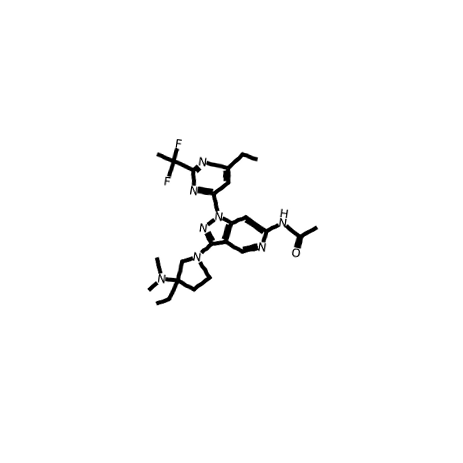 CCc1cc(-n2nc(N3CCC(CC)(N(C)C)C3)c3cnc(NC(C)=O)cc32)nc(C(C)(F)F)n1